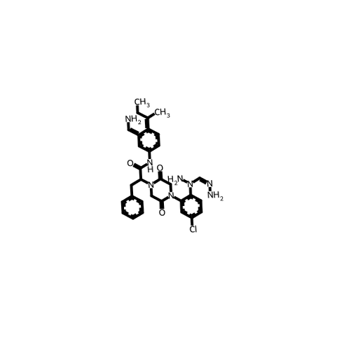 CC/C(C)=c1/ccc(NC(=O)C(Cc2ccccc2)N2CC(=O)N(c3cc(Cl)ccc3N(N)/C=N\N)CC2=O)c/c1=C/N